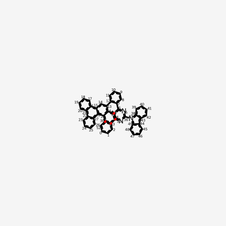 c1ccc(-c2nc(-c3ccccc3-c3cc4c5ccccc5c5ccccc5c4c4ccccc34)nc(-n3c4ccccc4c4ccccc43)n2)cc1